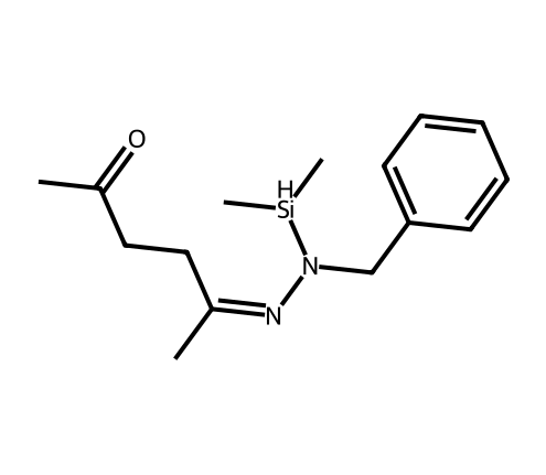 CC(=O)CCC(C)=NN(Cc1ccccc1)[SiH](C)C